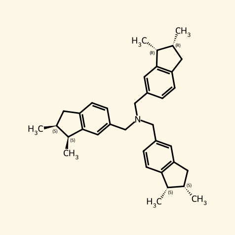 C[C@@H]1Cc2ccc(CN(Cc3ccc4c(c3)C[C@H](C)[C@@H]4C)Cc3ccc4c(c3)[C@@H](C)[C@@H](C)C4)cc2[C@@H]1C